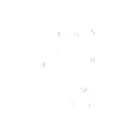 CCc1sc(C(C)Cc2sc(C)cc2C2C=CN=C(Cl)N2)cc1C1C=CN=CN1